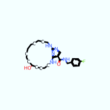 O=C(NCc1ccc(F)cc1)c1cnc2nc1NCCCCC(O)CCCCCCCCCN2